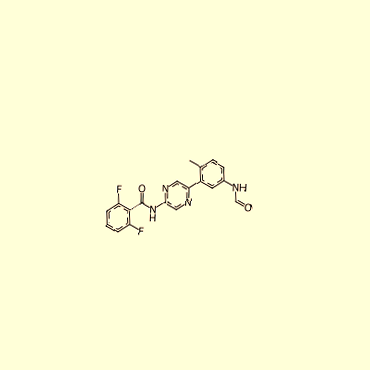 Cc1ccc(NC=O)cc1-c1cnc(NC(=O)c2c(F)cccc2F)cn1